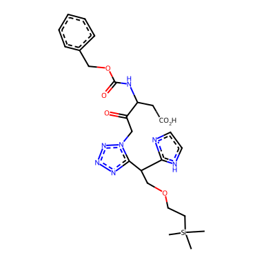 C[Si](C)(C)CCOCC(c1ncc[nH]1)c1nnnn1CC(=O)C(CC(=O)O)NC(=O)OCc1ccccc1